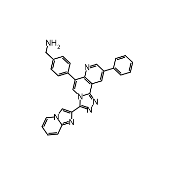 NCc1ccc(-c2cn3c(-c4cn5ccccc5n4)nnc3c3cc(-c4ccccc4)cnc23)cc1